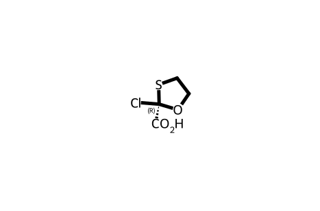 O=C(O)[C@@]1(Cl)OCCS1